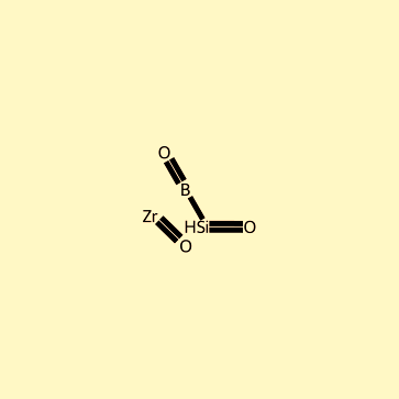 O=B[SiH]=O.[O]=[Zr]